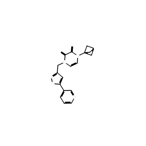 O=c1c(=O)n(C23CC(C2)C3)ccn1Cc1cc(-c2cccnc2)on1